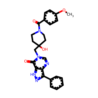 COc1ccc(C(=O)N2CCC(O)(Cn3cnc4c(-c5ccccc5)n[nH]c4c3=O)CC2)cc1